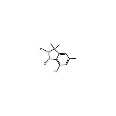 Cc1cc(C(C)C)c2c(c1)C(C)(C)N(C(C)C)[S+]2[O-]